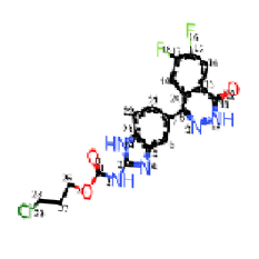 O=C(Nc1nc2cc(-c3n[nH]c(=O)c4cc(F)c(F)cc34)ccc2[nH]1)OCCCCl